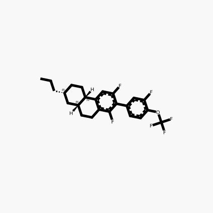 CCC[C@@H]1CC[C@@H]2c3cc(F)c(-c4ccc(OC(F)(F)F)c(F)c4)c(F)c3CC[C@@H]2C1